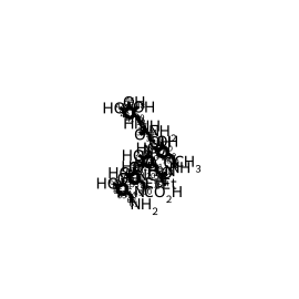 CC(Cc1ccc(O)c(O)c1)(NN)C(=O)O.CCN(CC)C(=O)/C(C#N)=C/c1cc(O)c(O)c([N+](=O)[O-])c1.NC(CO)C(=O)NNCc1ccc(O)c(O)c1O.NC(Cc1ccc(O)c(O)c1)C(=O)O.NCCc1ccc(O)c(O)c1